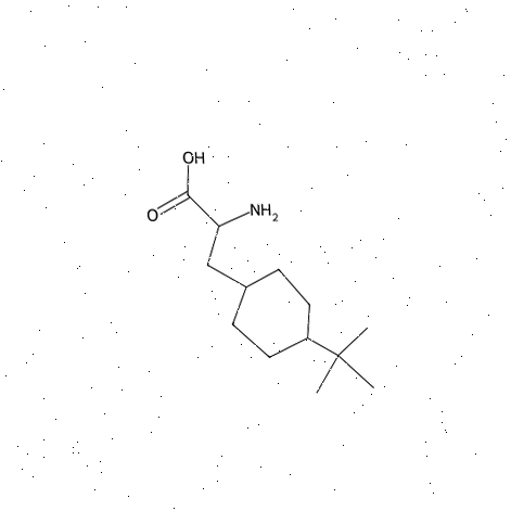 CC(C)(C)C1CCC(CC(N)C(=O)O)CC1